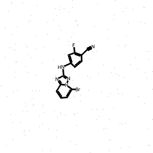 N#Cc1ccc(Nc2nc3cccc(Br)n3n2)cc1F